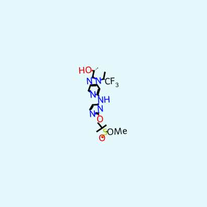 COS(=O)C(C)(C)COc1nccc(Nc2cc3c(cn2)nc([C@@H](C)O)n3[C@@H](C)C(F)(F)F)n1